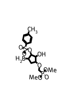 BC1CC(OCP(=O)(OC)OC)C(O)C1OS(=O)(=O)c1ccc(C)cc1